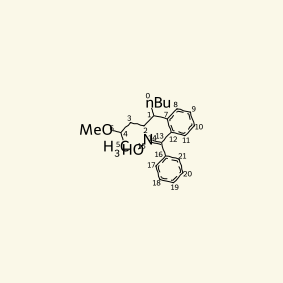 CCCCC(CCC(C)OC)c1ccccc1C(=NO)c1ccccc1